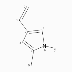 C=Cc1cc(C)n(C)c1